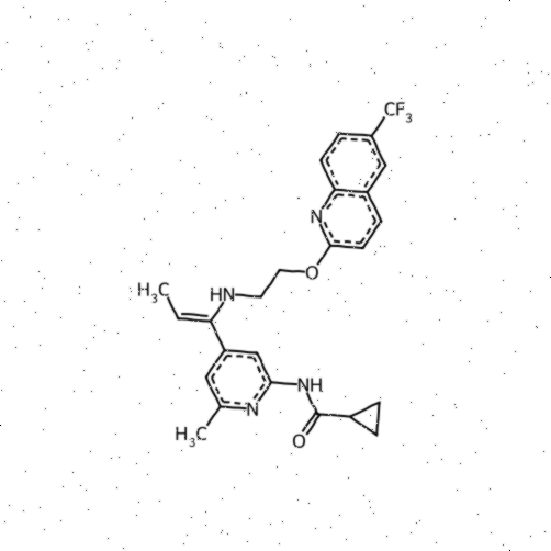 C/C=C(\NCCOc1ccc2cc(C(F)(F)F)ccc2n1)c1cc(C)nc(NC(=O)C2CC2)c1